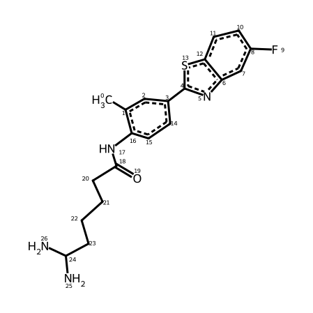 Cc1cc(-c2nc3cc(F)ccc3s2)ccc1NC(=O)CCCCC(N)N